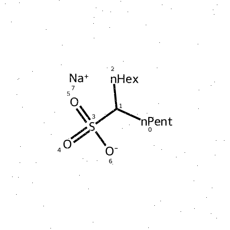 [CH2]CCCCC(CCCCCC)S(=O)(=O)[O-].[Na+]